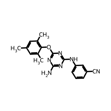 Cc1cc(C)c(Oc2nc(N)nc(Nc3cccc(C#N)c3)n2)c(C)c1